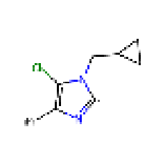 CC(C)c1n[c]n(CC2CC2)c1Cl